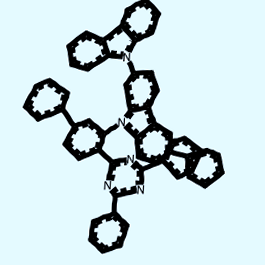 c1ccc(-c2ccc(-c3nc(-c4ccccc4)nc(-c4ccccc4)n3)c(-n3c4ccc(-c5ccccc5)cc4c4ccc(-n5c6ccccc6c6ccccc65)cc43)c2)cc1